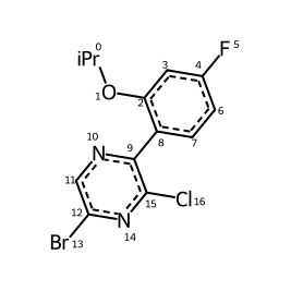 CC(C)Oc1cc(F)ccc1-c1ncc(Br)nc1Cl